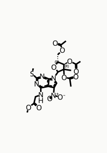 COC(=O)CNc1nc(SC)nc2c1c([N+](=O)[O-])cn2C1O[C@H](COC(C)=O)[C@@H](OC(C)=O)C1(C)OC(C)=O